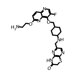 NCCOc1ccc2ncc(F)c(OCC3CCC(NCc4cnc5c(n4)NC(=O)CS5)CC3)c2n1